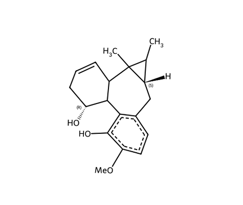 COc1ccc2c(c1O)C1C(C=CC[C@H]1O)C1(C)C(C)[C@@H]1C2